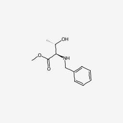 COC(=O)[C@H](NCc1ccccc1)[C@H](C)O